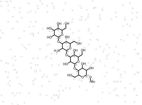 CCCCO[C@@H]1OC(CO)[C@@H](O[C@@H]2OC(CO)[C@H](O)C(O[C@@H]3OC(CO)[C@@H](O)C(O[C@@H]4OC(CO)[C@H](O)C(O)C4O)C3N)C2O)C(O)C1O